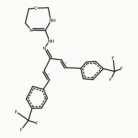 FC(F)(F)c1ccc(/C=C/C(/C=C/c2ccc(C(F)(F)F)cc2)=NNC2=NCCCCN2)cc1